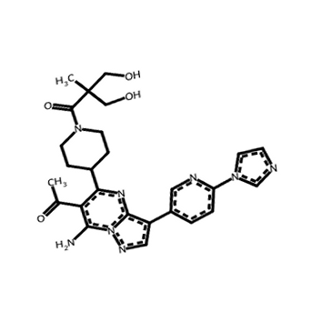 CC(=O)c1c(C2CCN(C(=O)C(C)(CO)CO)CC2)nc2c(-c3ccc(-n4ccnc4)nc3)cnn2c1N